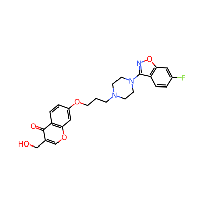 O=c1c(CO)coc2cc(OCCCN3CCN(c4noc5cc(F)ccc45)CC3)ccc12